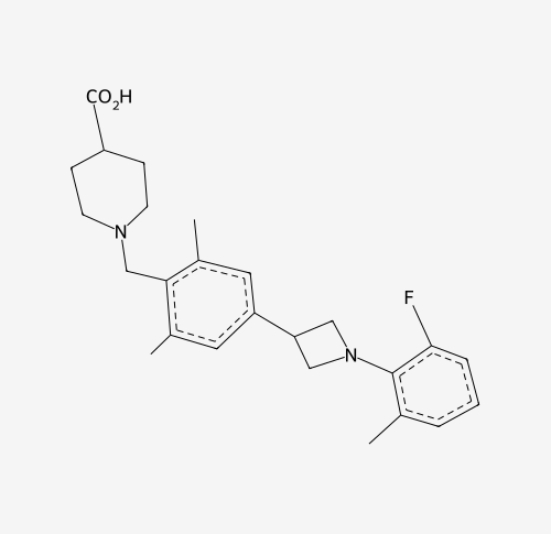 Cc1cc(C2CN(c3c(C)cccc3F)C2)cc(C)c1CN1CCC(C(=O)O)CC1